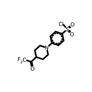 O=C(C1CCN(c2ccc(S(=O)(=O)Cl)cc2)CC1)C(F)(F)F